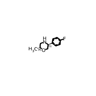 C[C@@H]1CN[C@@H](c2ccc(F)cc2)CO1